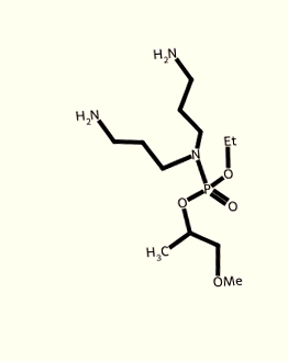 CCOP(=O)(OC(C)COC)N(CCCN)CCCN